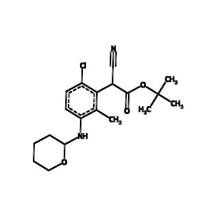 Cc1c(NC2CCCCO2)ccc(Cl)c1C(C#N)C(=O)OC(C)(C)C